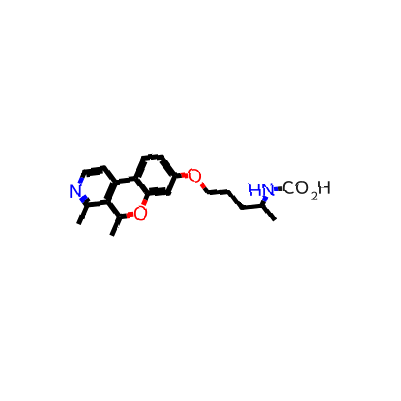 Cc1nccc2c1C(C)Oc1cc(OCCCC(C)NC(=O)O)ccc1-2